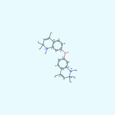 CC1=CC(C)(C)N(C)c2cc(Oc3ccc4c(c3)N(C)C(C)(C)C=C4C)ccc21